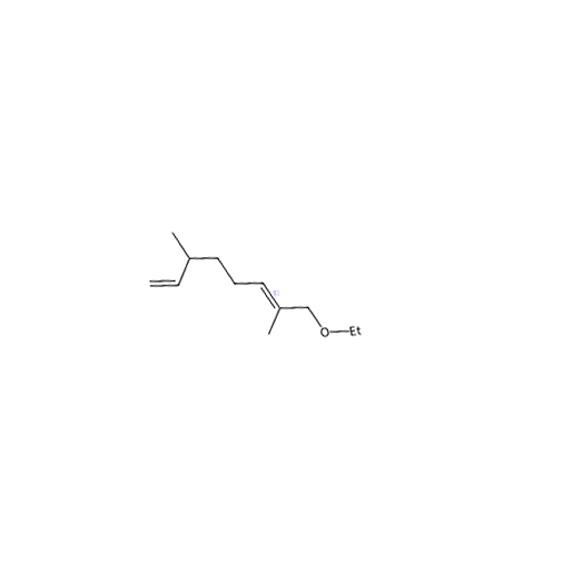 C=CC(C)CC/C=C(\C)COCC